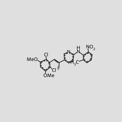 COc1cc(OC)c(Cl)c(/C=C(\F)c2ccc(Nc3c(C)cccc3[N+](=O)[O-])nc2)c1Cl